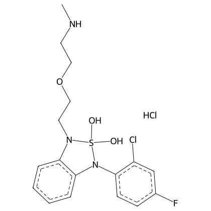 CNCCOCCN1c2ccccc2N(c2ccc(F)cc2Cl)S1(O)O.Cl